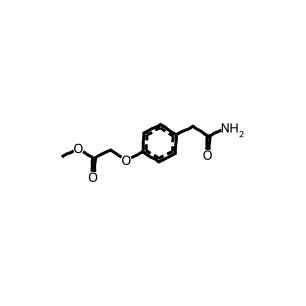 COC(=O)COc1ccc(CC(N)=O)cc1